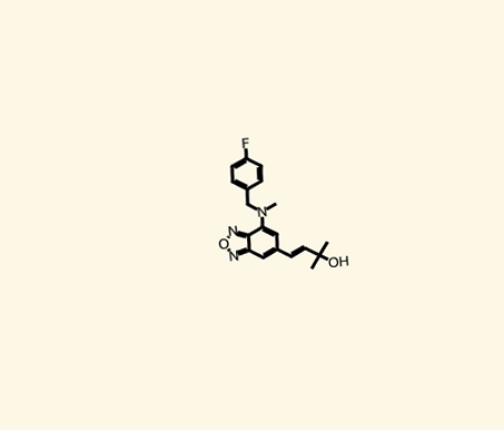 CN(Cc1ccc(F)cc1)c1cc(/C=C/C(C)(C)O)cc2nonc12